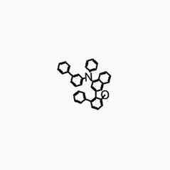 c1ccc(-c2cccc(N(c3ccccc3)c3cc4c(oc5cccc(-c6ccccc6)c54)c4ccccc34)c2)cc1